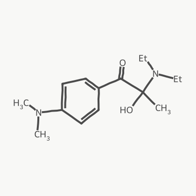 CCN(CC)C(C)(O)C(=O)c1ccc(N(C)C)cc1